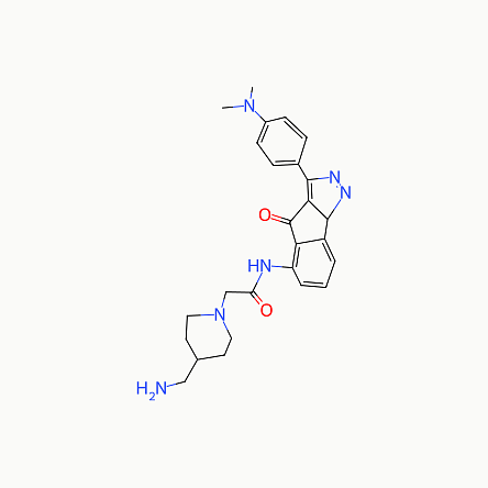 CN(C)c1ccc(C2=C3C(=O)c4c(NC(=O)CN5CCC(CN)CC5)cccc4C3N=N2)cc1